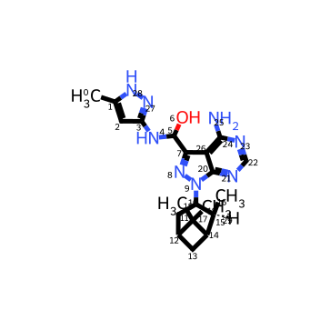 Cc1cc(NC(O)c2nn(C3CC4CC([C@@H]3C)C4(C)C)c3ncnc(N)c23)n[nH]1